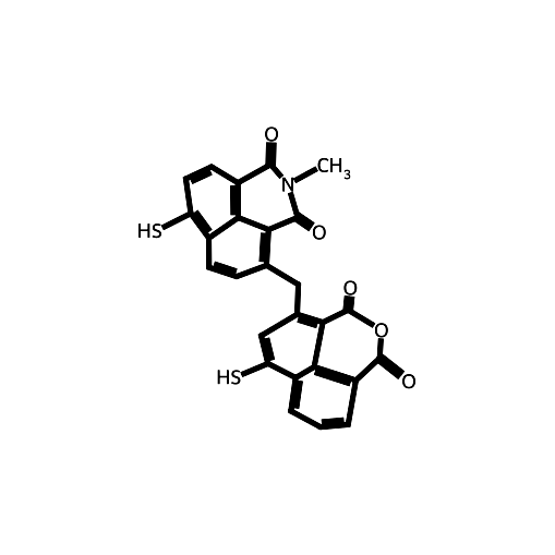 CN1C(=O)c2ccc(S)c3ccc(Cc4cc(S)c5cccc6c5c4C(=O)OC6=O)c(c23)C1=O